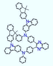 CC1(C)c2ccccc2-c2ccc(-n3c4ccccc4c4cc(N(c5ccccc5)c5ccc(-c6nc7ccccc7nc6-c6ccc(N(c7ccccc7)c7ccc8c(c7)c7ccccc7n8-c7ccc8c(c7)C(C)(C)c7ccccc7-8)cc6)cc5)ccc43)cc21